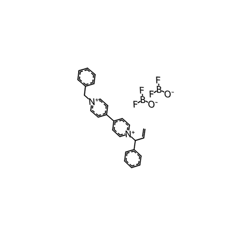 C=CC(c1ccccc1)[n+]1ccc(-c2cc[n+](Cc3ccccc3)cc2)cc1.[O-]B(F)F.[O-]B(F)F